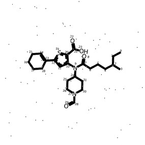 CCC(C)CCCC(=O)N(c1cc(C2=CCCCC2)sc1C(=O)O)C1CCN(C=O)CC1